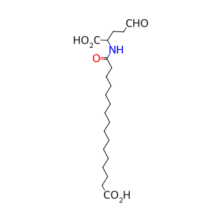 O=CCCC(NC(=O)CCCCCCCCCCCCCCC(=O)O)C(=O)O